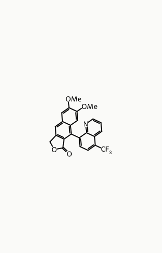 COc1cc2cc3c(c(-c4ccc(C(F)(F)F)c5cccnc45)c2cc1OC)C(=O)OC3